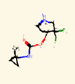 O=C(NC1(C(F)(F)F)CC1)O[C@H]1CNCC1(F)F